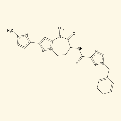 CN1C(=O)C(NC(=O)c2ncn(CC3=CCCC=C3)n2)CCn2nc(-c3ccn(C)n3)cc21